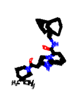 CC1(C)CCCN(C(=O)Cc2cn3c(C(=O)NCC45CCCC(C4)C4CC4C5)cccc3n2)C1